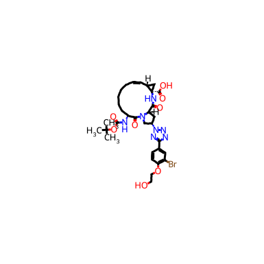 CC(C)(C)OC(=O)N[C@H]1CCCCC/C=C\[C@@H]2C[C@@]2(C(=O)O)NC(=O)[C@@H]2C[C@@H](n3nnc(-c4ccc(OCCO)c(Br)c4)n3)CN2C1=O